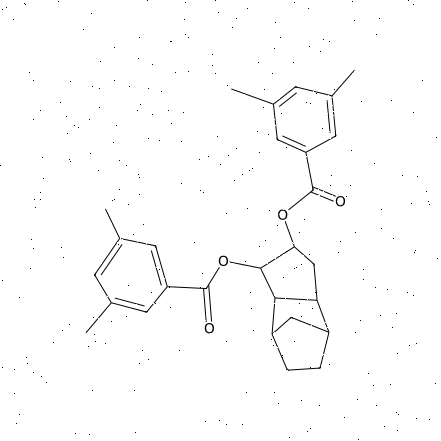 Cc1cc(C)cc(C(=O)OC2CC3C4CCC(C4)C3C2OC(=O)c2cc(C)cc(C)c2)c1